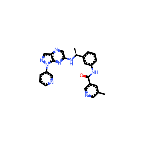 Cc1cncc(C(=O)Nc2cccc([C@H](C)Nc3cnc4cnn(-c5cccnc5)c4n3)c2)c1